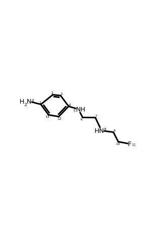 Nc1ccc(NCCNCCF)cc1